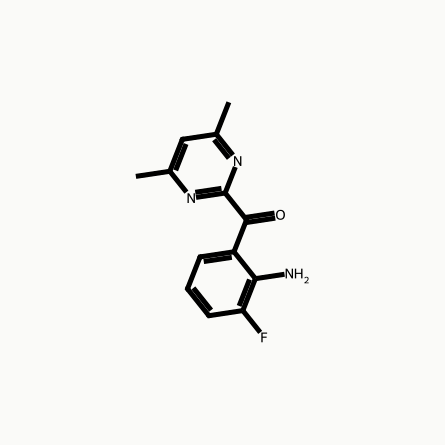 Cc1cc(C)nc(C(=O)c2cccc(F)c2N)n1